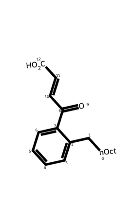 CCCCCCCCCc1ccccc1C(=O)C=CC(=O)O